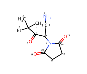 CCC(C)(C)C(=O)C(CN)N1C(=O)CCC1=O